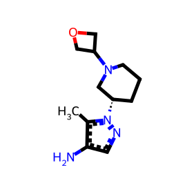 Cc1c(N)cnn1[C@H]1CCCN(C2COC2)C1